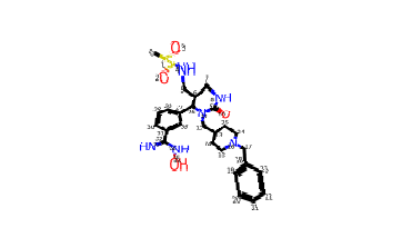 CS(=O)(=O)NCC1CNC(=O)N(CC2CCN(Cc3ccccc3)CC2)C1c1cccc(C(=N)NO)c1